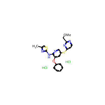 COCc1nccc(Sc2cnc(Nc3nc(C)cs3)c(Oc3ccccc3)c2)n1.Cl.Cl